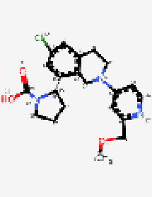 COCc1cc(N2CCc3cc(Cl)cc([C@@H]4CCCN4C(=O)O)c3C2)ccn1